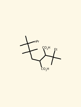 CCCC(C)(C)C(C)(C)CC(C(=O)O)C(C(=O)O)C(C)(C)CC